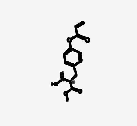 C=CC(=O)Oc1ccc(C[C@H](NS)C(=O)OC)cc1